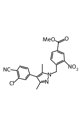 COC(=O)c1ccc(Cn2nc(C)c(-c3ccc(C#N)c(Cl)c3)c2C)c([N+](=O)[O-])c1